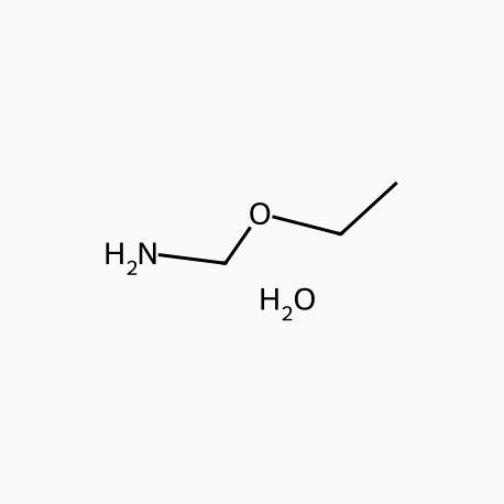 CCOCN.O